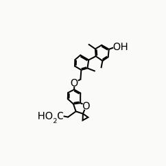 Cc1cc(O)cc(C)c1-c1cccc(COc2ccc3c(c2)OC2(CC2)C3CC(=O)O)c1C